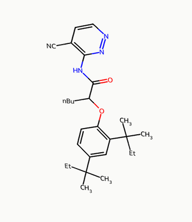 CCCCC(Oc1ccc(C(C)(C)CC)cc1C(C)(C)CC)C(=O)Nc1nnccc1C#N